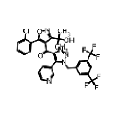 CC(C)(O)c1noc(-c2ccccc2Cl)c1C(=O)c1nnn(Cc2cc(C(F)(F)F)cc(C(F)(F)F)c2)c1-c1cccnc1